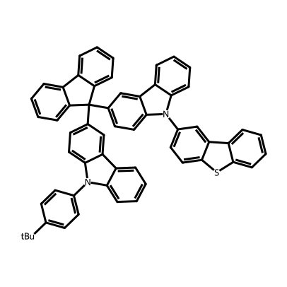 CC(C)(C)c1ccc(-n2c3ccccc3c3cc(C4(c5ccc6c(c5)c5ccccc5n6-c5ccc6sc7ccccc7c6c5)c5ccccc5-c5ccccc54)ccc32)cc1